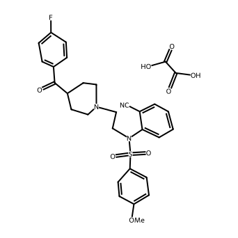 COc1ccc(S(=O)(=O)N(CCN2CCC(C(=O)c3ccc(F)cc3)CC2)c2ccccc2C#N)cc1.O=C(O)C(=O)O